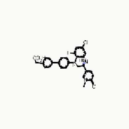 Cn1cc(/C(C[C@@H](c2ccc(-c3ccc(CC(=O)O)cc3)cc2)c2ccc(Cl)cc2F)=N/O)ccc1=O